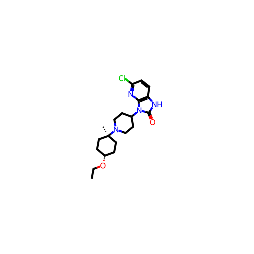 CCO[C@H]1CC[C@](C)(N2CCC(n3c(=O)[nH]c4ccc(Cl)nc43)CC2)CC1